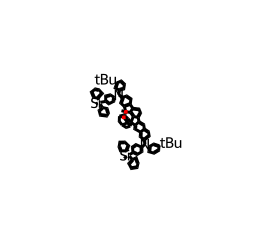 CC(C)(C)c1cccc(N(c2ccc([Si](C)(c3ccccc3)c3ccccc3)cc2)c2ccc3c(c2)C(C)(C)c2c-3ccc3c2C2(c4cc5cc(N(c6ccc([Si](C)(c7ccccc7)c7ccccc7)cc6)c6cccc(C(C)(C)C)c6)ccc5cc4-3)C3CC4CC(C3)CC2C4)c1